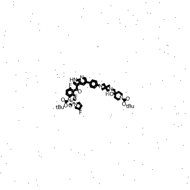 CC(C)(C)OC(=O)N1CCC(O)(CN2CC3(C2)CN(c2ccc(-c4cnc5[nH]cc(C(=O)c6c(F)ccc(N(C(=O)OC(C)(C)C)S(=O)(=O)N7CC[C@@H](F)C7)c6F)c5c4)cc2)C3)CC1